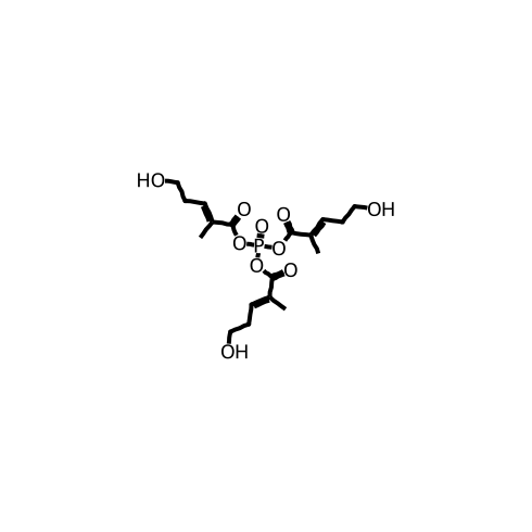 C/C(=C\CCO)C(=O)OP(=O)(OC(=O)/C(C)=C/CCO)OC(=O)/C(C)=C/CCO